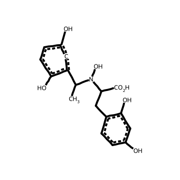 CC(c1cc(O)ccc1O)N(O)C(Cc1ccc(O)cc1O)C(=O)O